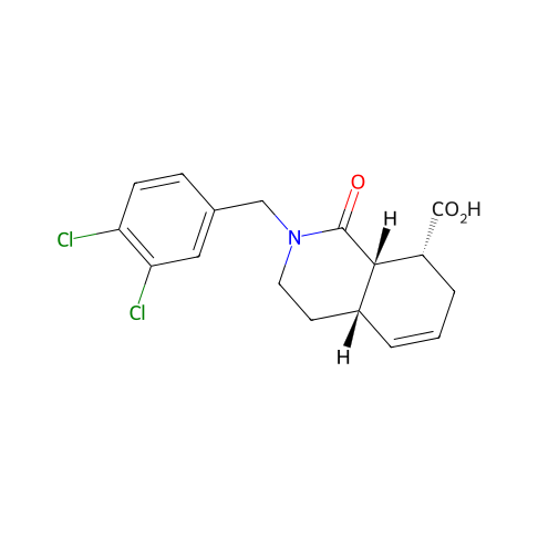 O=C(O)[C@@H]1CC=C[C@@H]2CCN(Cc3ccc(Cl)c(Cl)c3)C(=O)[C@@H]21